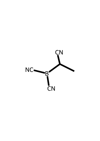 CC(C#N)B(C#N)C#N